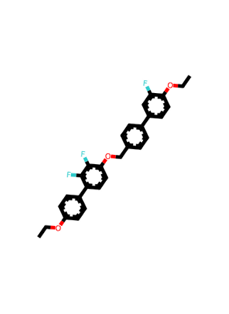 CCOc1ccc(-c2ccc(OCc3ccc(-c4ccc(OCC)c(F)c4)cc3)c(F)c2F)cc1